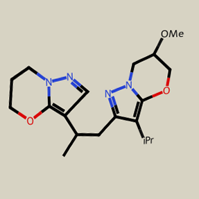 COC1COc2c(C(C)C)c(CC(C)c3cnn4c3OCCC4)nn2C1